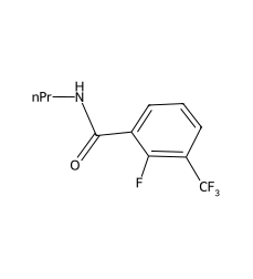 CCCNC(=O)c1cccc(C(F)(F)F)c1F